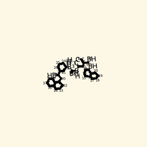 B=C(B/C(C)=C/C(=C\C)C(=B)Bc1cccc2ccccc12)Bc1cccc(C(=B)Cc2cccc3ccccc23)c1